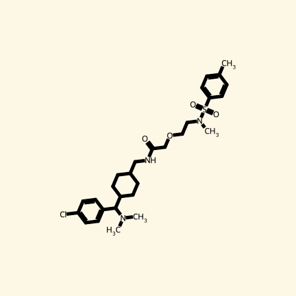 Cc1ccc(S(=O)(=O)N(C)CCOCC(=O)NCC2CCC(C(c3ccc(Cl)cc3)N(C)C)CC2)cc1